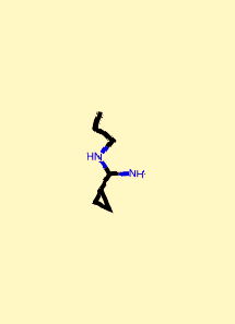 CCCNC([NH])C1CC1